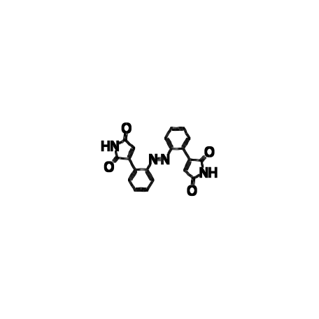 O=C1C=C(c2ccccc2N=Nc2ccccc2C2=CC(=O)NC2=O)C(=O)N1